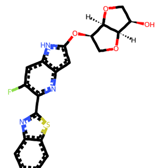 O[C@@H]1CO[C@H]2[C@@H]1OC[C@H]2Oc1cc2nc(-c3nc4ccccc4s3)c(F)cc2[nH]1